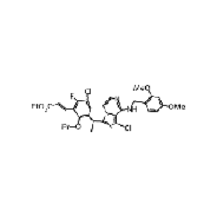 CCOC(=O)C=Cc1c(F)c(Cl)cc(C(C)c2nc(Cl)c3c(NCc4ccc(OC)cc4OC)nccn23)c1OC(C)C